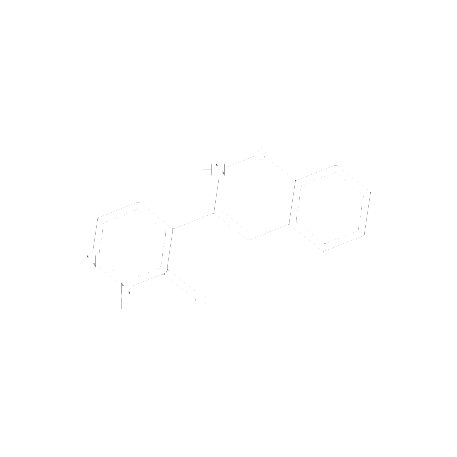 O=c1[nH]nccc1C1=Cc2ccccc2SN1